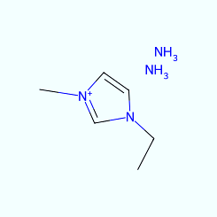 CCn1cc[n+](C)c1.N.N